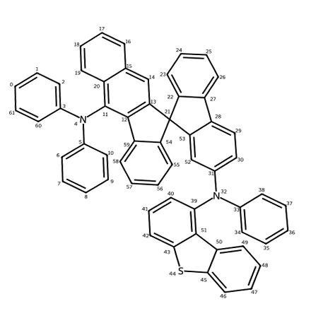 c1ccc(N(c2ccccc2)c2c3c(cc4ccccc24)C2(c4ccccc4-c4ccc(N(c5ccccc5)c5cccc6sc7ccccc7c56)cc42)c2ccccc2-3)cc1